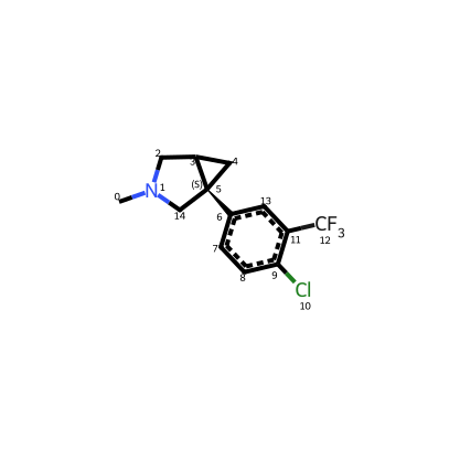 CN1CC2C[C@]2(c2ccc(Cl)c(C(F)(F)F)c2)C1